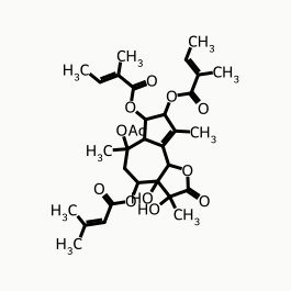 CC=C(C)C(=O)OC1C(C)=C2C(C1OC(=O)C(C)=CC)C(C)(OC(C)=O)CC(OC(=O)C=C(C)C)C1(O)C2OC(=O)C1(C)O